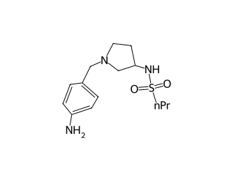 CCCS(=O)(=O)NC1CCN(Cc2ccc(N)cc2)C1